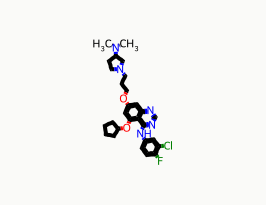 CN(C)C1CCN(CCCOc2cc(OC3CCCC3)c3c(Nc4ccc(F)c(Cl)c4)ncnc3c2)C1